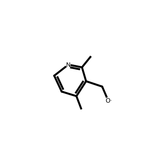 Cc1ccnc(C)c1C[O]